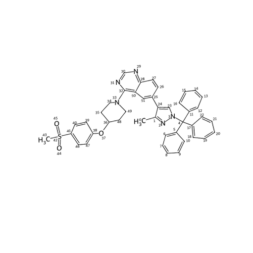 Cc1nn(C(c2ccccc2)(c2ccccc2)c2ccccc2)cc1-c1ccc2ncnc(N3CCC(Oc4ccc(S(C)(=O)=O)cc4)CC3)c2c1